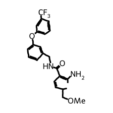 COCC(C)/C=C\C(C(=O)NCc1cccc(Oc2cccc(C(F)(F)F)c2)c1)=C(/C)N